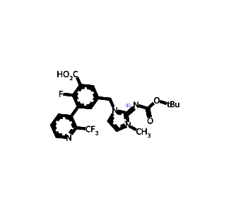 Cn1ccn(Cc2cc(C(=O)O)c(F)c(-c3cccnc3C(F)(F)F)c2)/c1=N/C(=O)OC(C)(C)C